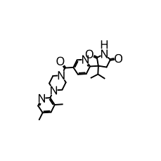 Cc1cnc(N2CCN(C(=O)c3ccc(C4(C(C)C)CC(=O)NC4=O)nc3)CC2)c(C)c1